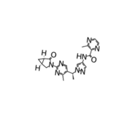 Cc1nc(N2C[C@H]3C[C@H]3C2=O)ncc1[C@H](C)n1cc(NC(=O)c2nccnc2C)cn1